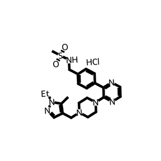 CCn1ncc(CN2CCN(c3nccnc3-c3ccc(CNS(C)(=O)=O)cc3)CC2)c1C.Cl